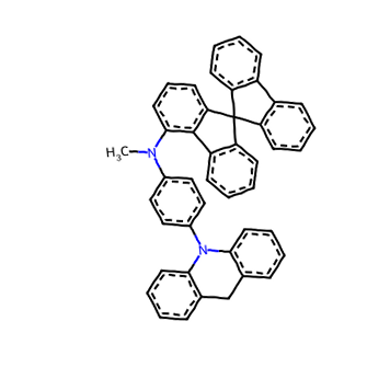 CN(c1ccc(N2c3ccccc3Cc3ccccc32)cc1)c1cccc2c1-c1ccccc1C21c2ccccc2-c2ccccc21